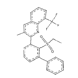 CCS(=O)(=O)c1c(-c2ccccc2)cccc1-c1nc2c(C(F)(F)F)cccc2cc1C